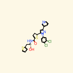 O=C(N[C@H](CO)Cc1cccs1)C1=CCC(c2cc(-c3cccnc3)nn2-c2ccc(Cl)c(Cl)c2)S1